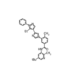 CCc1c(-c2cn(-c3cc(C(=O)Nc4cc(C(C)(C)C)cnc4C)ccc3C)cn2)cnn1-c1ccccc1